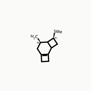 CS[C@H]1CC2C3=C(CC3)C[C@@H](C)C21